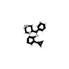 c1ccc([C@H](Oc2ccccc2C2CC2)C2CNCCO2)cc1